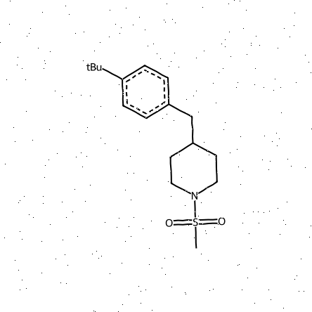 CC(C)(C)c1ccc(CC2CCN(S(C)(=O)=O)CC2)cc1